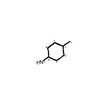 CC1CCC([NH])CC1